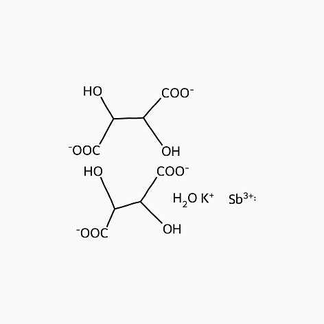 O.O=C([O-])C(O)C(O)C(=O)[O-].O=C([O-])C(O)C(O)C(=O)[O-].[K+].[Sb+3]